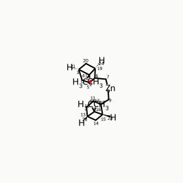 CC1(C)[C@H]2CCC([CH2][Zn][CH2]C3CC[C@H]4C[C@@H]3C4(C)C)[C@@H]1C2